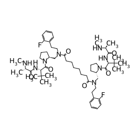 CN[C@@H](C)C(=O)N[C@H](C(=O)N1CCC[C@H]1CN(CCc1ccccc1F)C(=O)CCCCCCC(=O)N(CCc1ccccc1F)C[C@@H]1CCCN1C(=O)[C@@H](NC(=O)[C@H](C)NC)C(C)(C)C)C(C)(C)C